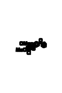 COc1cc(OC)c(S(=O)(=O)N2CCN(C(=O)c3ccccc3)CC2)cc1Cl